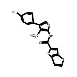 N#Cc1ccc(-c2csc(NC(=O)c3cc4sccc4s3)c2C(=O)O)cc1